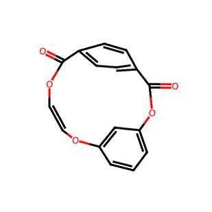 O=C1OC=COc2cccc(c2)OC(=O)c2ccc1cc2